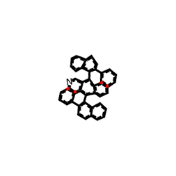 c1ccc(-c2ccc3ccccc3c2-c2c3ccccc3c(-c3c(-c4ccccc4)ccc4ccccc34)c3cnccc23)cc1